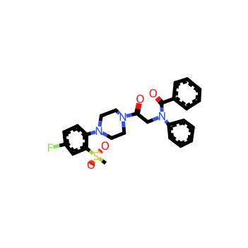 CS(=O)(=O)c1cc(F)ccc1N1CCN(C(=O)CN(C(=O)c2ccccc2)c2ccccc2)CC1